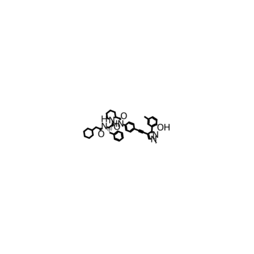 Cc1ccc(O)c(-c2nn(C)cc2C#Cc2ccc(NC(=O)C3CCCCN3C(=O)[C@H](Cc3ccccc3)NC(=O)CC3CCCCC3)cc2)c1